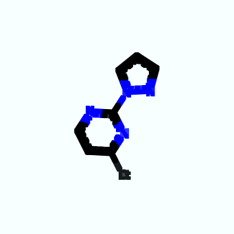 CCc1ccnc(-n2cccn2)n1